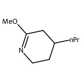 CCCC1CCN=C(OC)C1